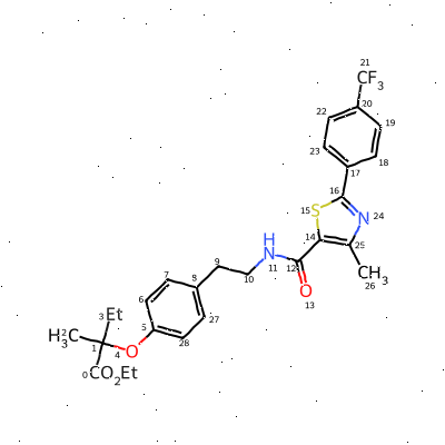 CCOC(=O)C(C)(CC)Oc1ccc(CCNC(=O)c2sc(-c3ccc(C(F)(F)F)cc3)nc2C)cc1